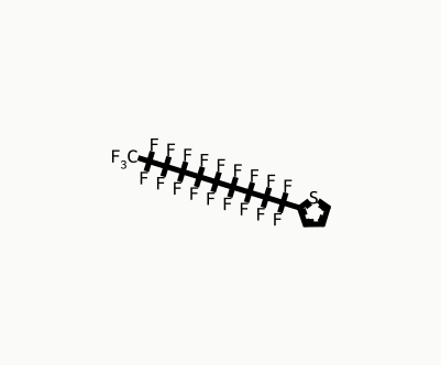 FC(F)(F)C(F)(F)C(F)(F)C(F)(F)C(F)(F)C(F)(F)C(F)(F)C(F)(F)C(F)(F)C(F)(F)c1cccs1